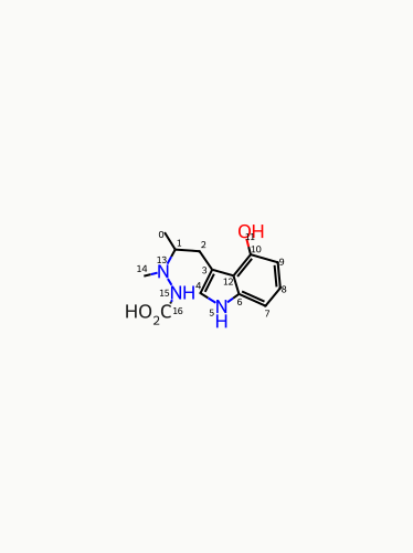 CC(Cc1c[nH]c2cccc(O)c12)N(C)NC(=O)O